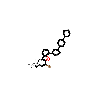 C=CC/C=C(/Br)c1oc2c(-c3cccc(-c4ccc(-c5ccccc5)cc4)c3)cccc2c1C